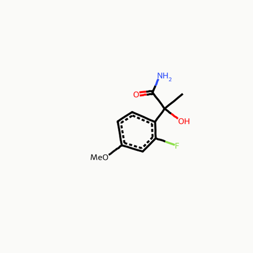 COc1ccc(C(C)(O)C(N)=O)c(F)c1